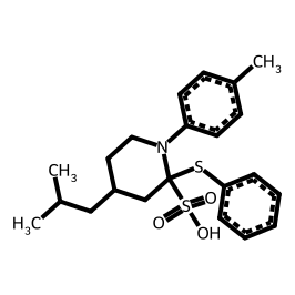 Cc1ccc(N2CCC(CC(C)C)CC2(Sc2ccccc2)S(=O)(=O)O)cc1